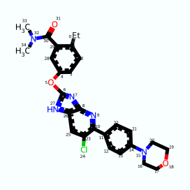 CCc1ccc(Oc2nc3nc(-c4ccc(N5CCOCC5)cc4)c(Cl)cc3[nH]2)cc1C(=O)N(C)C